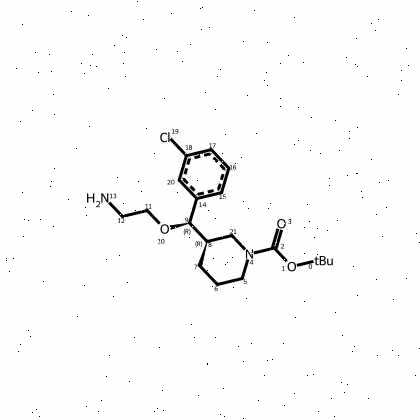 CC(C)(C)OC(=O)N1CCC[C@@H]([C@@H](OCCN)c2cccc(Cl)c2)C1